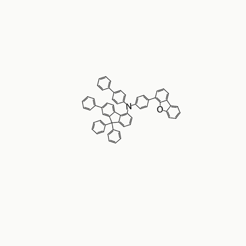 c1ccc(-c2ccc(N(c3ccc(-c4cccc5c4oc4ccccc45)cc3)c3cccc4c3-c3ccc(-c5ccccc5)cc3C4(c3ccccc3)c3ccccc3)cc2)cc1